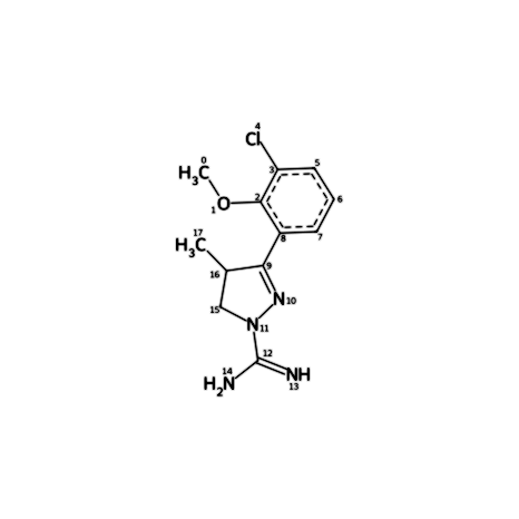 COc1c(Cl)cccc1C1=NN(C(=N)N)CC1C